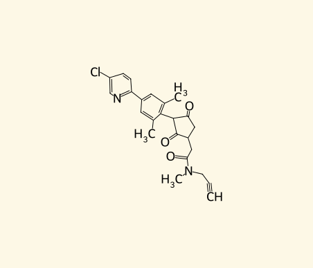 C#CCN(C)C(=O)CC1CC(=O)C(c2c(C)cc(-c3ccc(Cl)cn3)cc2C)C1=O